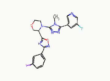 Cn1c(-c2cncc(F)c2)nnc1N1CCOCC1c1nc(-c2cccc(I)c2)no1